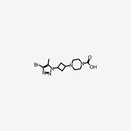 Cc1c(Br)nnn1C1CC(N2CCN(C(=O)O)CC2)C1